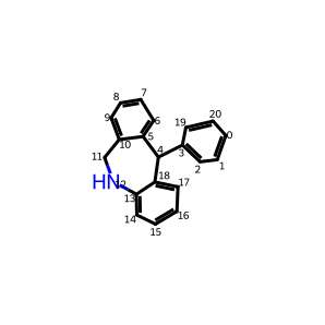 c1ccc(C2c3ccccc3CNc3ccccc32)cc1